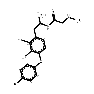 CPCC(=O)NC(Cc1ccc(Oc2ccc(O)cc2)c(I)c1I)C(=O)O